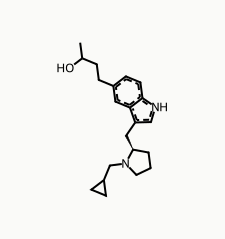 CC(O)CCc1ccc2[nH]cc(C[C@H]3CCCN3CC3CC3)c2c1